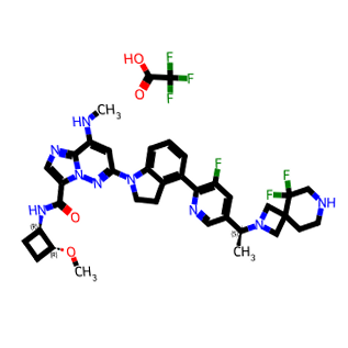 CNc1cc(N2CCc3c(-c4ncc([C@H](C)N5CC6(CCNCC6(F)F)C5)cc4F)cccc32)nn2c(C(=O)N[C@@H]3CC[C@H]3OC)cnc12.O=C(O)C(F)(F)F